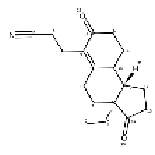 CC[C@]12CCC3=C(CCC#N)C(=O)CCC3[C@@H]1CCC2=O